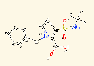 CC(C)(C)NS(=O)(=O)c1ccn(Cc2ccccc2)c1C(=O)O